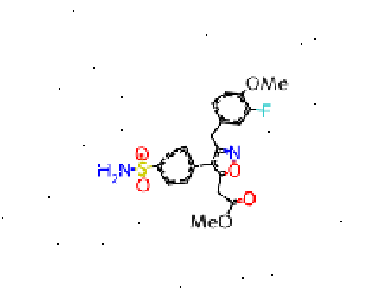 COC(=O)Cc1onc(Cc2ccc(OC)c(F)c2)c1-c1ccc(S(N)(=O)=O)cc1